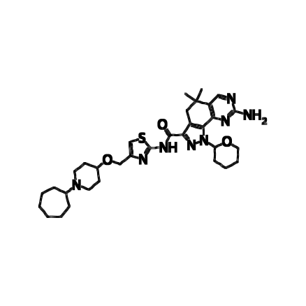 CC1(C)Cc2c(C(=O)Nc3nc(COC4CCN(C5CCCCCC5)CC4)cs3)nn(C3CCCCO3)c2-c2nc(N)ncc21